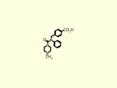 CN1CCN(C(=O)N(Cc2ccc(C(=O)O)cc2)c2ccccc2)CC1